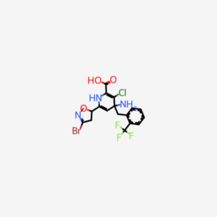 NC1(Cc2ccccc2C(F)(F)F)C=C(C2CC(Br)=NO2)NC(C(=O)O)=C1Cl